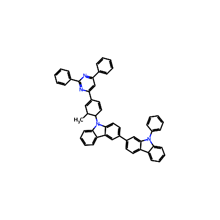 CC1C=C(c2cc(-c3ccccc3)nc(-c3ccccc3)n2)C=CC1n1c2ccccc2c2cc(-c3ccc4c5ccccc5n(-c5ccccc5)c4c3)ccc21